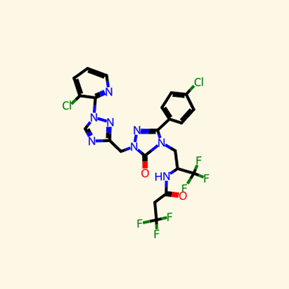 O=C(CC(F)(F)F)NC(Cn1c(-c2ccc(Cl)cc2)nn(Cc2ncn(-c3ncccc3Cl)n2)c1=O)C(F)(F)F